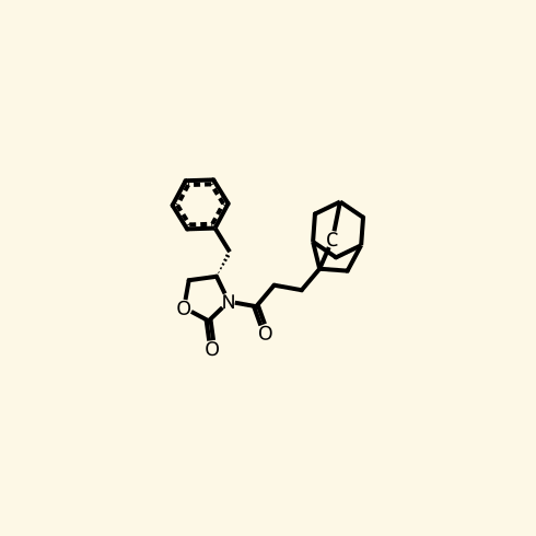 O=C(CCC12CC3CC(CC1C3)C2)N1C(=O)OC[C@@H]1Cc1ccccc1